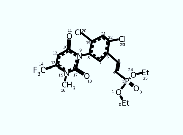 CCOP(=O)(C=Cc1cc(-n2c(=O)cc(C(F)(F)F)n(C)c2=O)c(Cl)cc1Cl)OCC